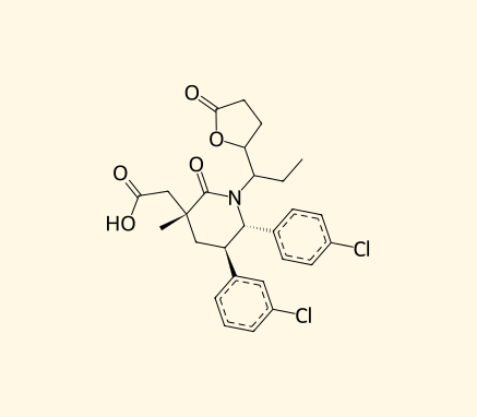 CCC(C1CCC(=O)O1)N1C(=O)[C@@](C)(CC(=O)O)C[C@H](c2cccc(Cl)c2)[C@H]1c1ccc(Cl)cc1